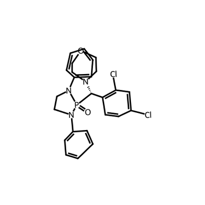 O=P1([C@@H](c2ccc(Cl)cc2Cl)N2CCOCC2)N(c2ccccc2)CCN1c1ccccc1